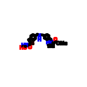 COC(=O)[C@@H](NCc1ccc(CNCc2ccc3c(c2)SC(C(=O)NO)C3)cc1)C(C)(C)C